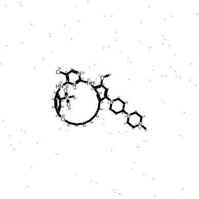 COc1cc(N2CCC(N3CCN(C)CC3)CC2)c2cc1Nc1ncc(Cl)c(n1)Nc1ccc(cc1S(C)(=O)=O)OCCCCCC2